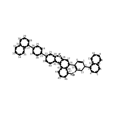 C1=CC(c2cccc3ccccc23)CC2=C1c1cc3sc4cc(-c5ccc(-c6cccc7ccccc67)cc5)ccc4c3c3cccc(c13)S2